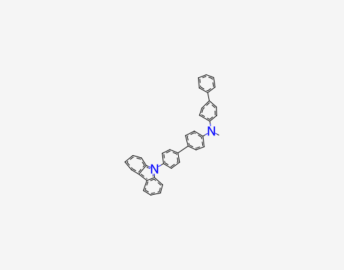 CN(c1ccc(-c2ccccc2)cc1)c1ccc(-c2ccc(-n3c4ccccc4c4ccccc43)cc2)cc1